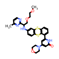 COCCOCC(Nc1ccc2c(c1)Sc1cccc(-c3cc(N4CCOCC4)cc(=O)[nH]3)c1S2)c1nccc(C)n1